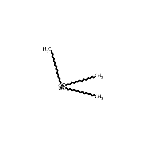 CCCCCCCCCCCCCCCCCCOP(=O)(OCCCCCCCCCCCCCCCC)OCCCCCCCCCCCCCCCC